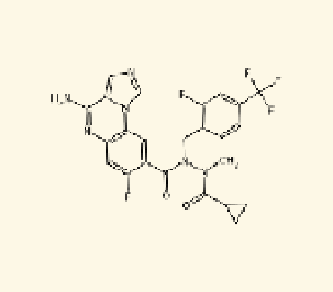 CN(C(=O)C1CC1)N(Cc1ccc(C(F)(F)F)cc1F)C(=O)c1cc2c(cc1F)nc(N)c1cncn12